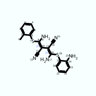 Cc1ccccc1S/C(N)=C(C#N)/C(C#N)=C(\N)Sc1ccccc1N